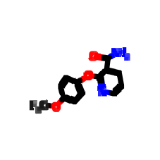 NC(=O)c1cccnc1Oc1ccc(OC(F)(F)F)cc1